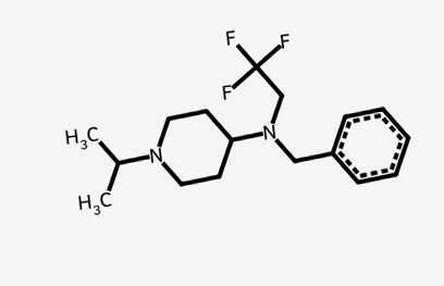 CC(C)N1CCC(N(Cc2ccccc2)CC(F)(F)F)CC1